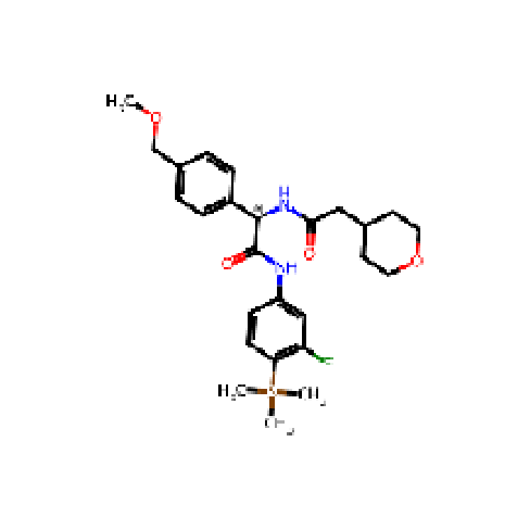 COCc1ccc([C@@H](NC(=O)CC2CCOCC2)C(=O)Nc2ccc(S(C)(C)C)c(F)c2)cc1